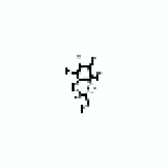 O=C(CF)Oc1c(F)c(F)c(F)c(F)c1F